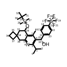 CC(C)c1nc2c(c(I)c1[C@@H](O)c1ccc(S(F)(F)(F)(F)F)cc1)C(O[Si](C)(C)C(C)(C)C)CC1(CCC1)C2